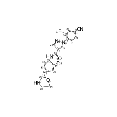 N#Cc1ccc(-n2cc(C(=O)Nc3ccc([C@H]4CNCCO4)cc3F)cn2)c(F)c1